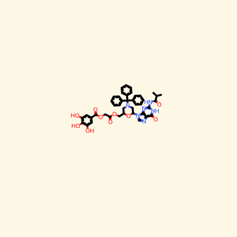 CC(C)C(=O)Nc1nc2c(ncn2C2CN(C(c3ccccc3)(c3ccccc3)c3ccccc3)CC(COC(=O)COC(=O)c3cc(O)c(O)c(O)c3)O2)c(=O)[nH]1